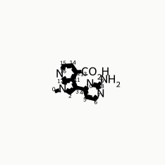 Cn1cc(-c2ccnc(N)n2)c2c(C(=O)O)ccnc21